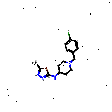 Fc1ccc(CN2CCC(Nc3nnc(C(F)(F)F)s3)CC2)cc1